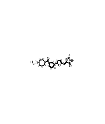 CN1CCCN(C(=O)c2cccc(C3CC=C(/C=C4\SC(=S)NC4=O)O3)c2)CC1